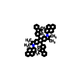 Cc1c(C)n(-c2ccc3ccc4cccc5ccc2c3c45)c2cc3c(-c4ccc5c(c4)C(C)(C)c4ccccc4-5)c4cc5c(C)c(C)n(-c6ccc7ccc8cccc9ccc6c7c89)c5cc4c(-c4ccc5c(c4)C(C)(C)c4ccccc4-5)c3cc12